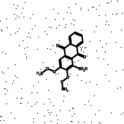 NOOc1cc2c(c(S(=O)(=O)O)c1OON)C(=O)c1ccccc1C2=O